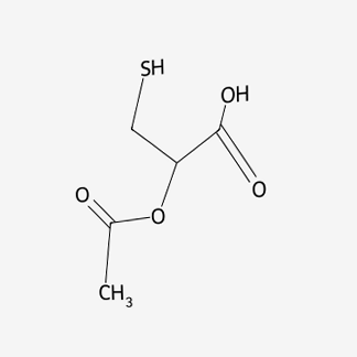 CC(=O)OC(CS)C(=O)O